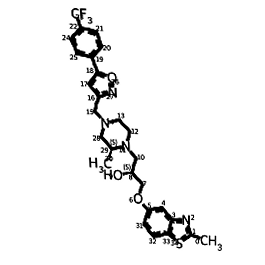 Cc1nc2cc(OC[C@@H](O)CN3CCN(Cc4cc(-c5ccc(C(F)(F)F)cc5)on4)C[C@@H]3C)ccc2s1